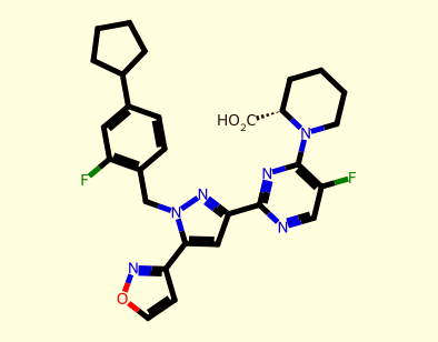 O=C(O)[C@@H]1CCCCN1c1nc(-c2cc(-c3ccon3)n(Cc3ccc(C4CCCC4)cc3F)n2)ncc1F